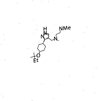 CCC(C)(C)O[C@H]1CC[C@@H](c2n[nH]cc2CN(C)CCNC)CC1